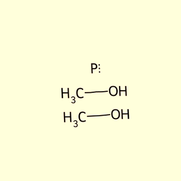 CO.CO.[P]